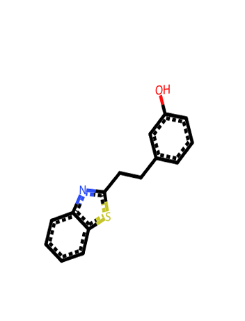 Oc1cccc(CCc2nc3ccccc3s2)c1